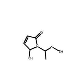 CC(SS)N1C(=O)C=CC1O